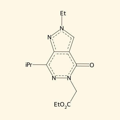 CCOC(=O)Cn1nc(C(C)C)c2nn(CC)cc2c1=O